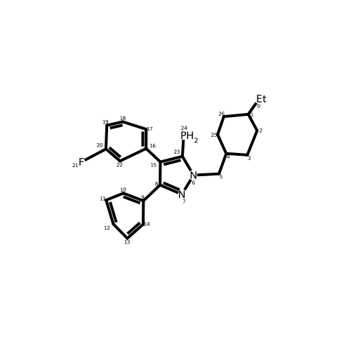 CCC1CCC(Cn2nc(-c3ccccc3)c(-c3cccc(F)c3)c2P)CC1